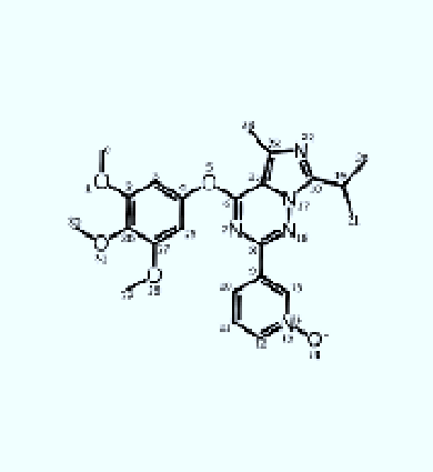 COc1cc(Oc2nc(-c3ccc[n+]([O-])c3)nn3c(C(C)C)nc(C)c23)cc(OC)c1OC